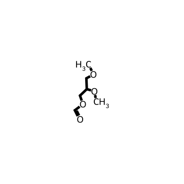 COCC(COC=O)OC